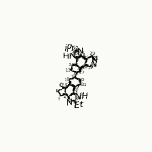 CCc1nc2c3ccsc3c3cc(-c4ccc5c(c4)c4cnncc4c4nc(C(C)C)[nH]c54)ccc3c2[nH]1